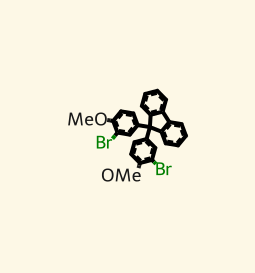 COc1ccc(C2(c3ccc(OC)c(Br)c3)c3ccccc3-c3ccccc32)cc1Br